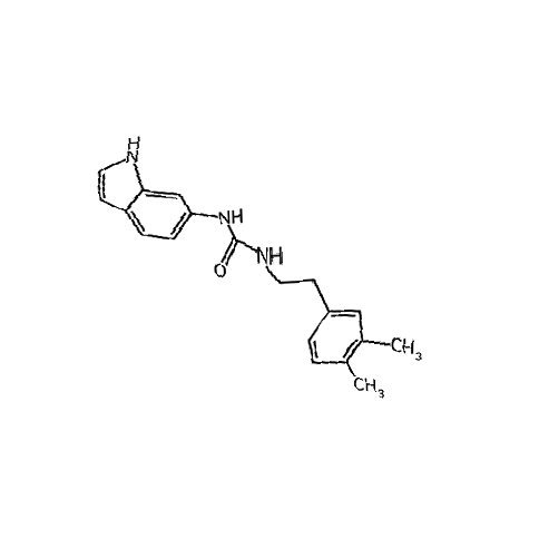 Cc1ccc(CCNC(=O)Nc2ccc3cc[nH]c3c2)cc1C